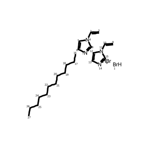 Br.Br.C=Cn1ccnc1.C=Cn1ccnc1.CCCCCCCCCCCC